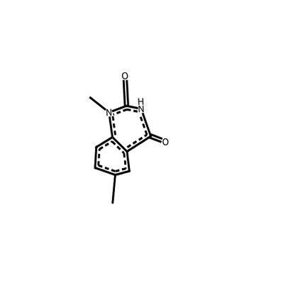 Cc1ccc2c(c1)c(=O)[nH]c(=O)n2C